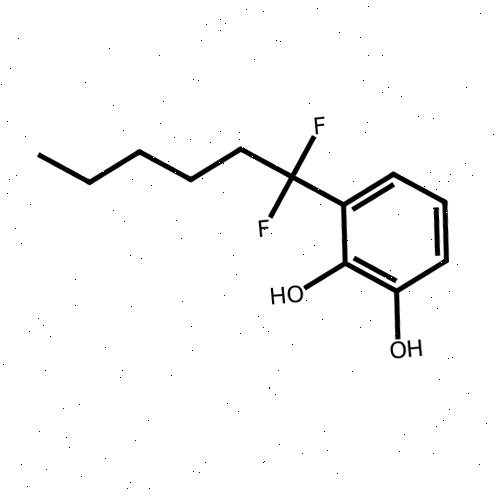 CCCCCC(F)(F)c1cccc(O)c1O